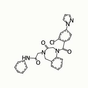 O=C(CN1Cc2ccccc2N(C(=O)c2ccc(-n3cccn3)cc2Cl)CC1=O)Nc1ccccc1